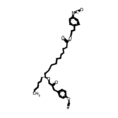 CCCCCC[C@H](CCCCCCCCCCC(=O)OCCc1ccc(N=C=O)cc1)OCC(=O)Cc1ccc(OC#N)cc1